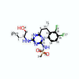 CC(C)C[C@H](CO)Nc1nc(C[C@H](C)c2cccc(F)c2F)nc(NS(C)(=O)=O)n1